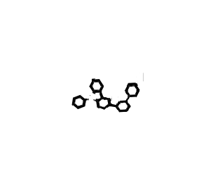 Clc1ccc(-c2cccc3c2oc2c3ccc3c2c2ccccc2n3-c2ccccc2)cc1